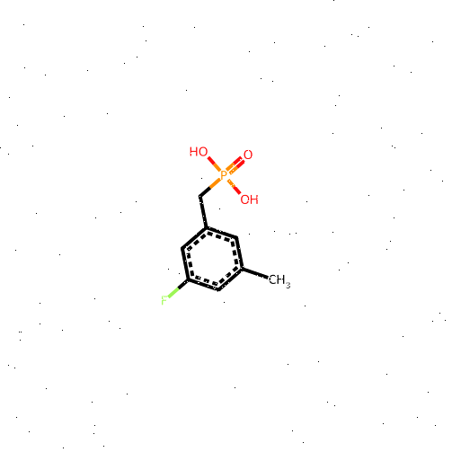 Cc1cc(F)cc(CP(=O)(O)O)c1